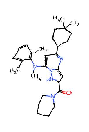 Cc1cccc(C)c1N(C)C1=CC(C2CCC(C)(C)CC2)=NC2=CC(C(=O)N3CCCCC3)NN21